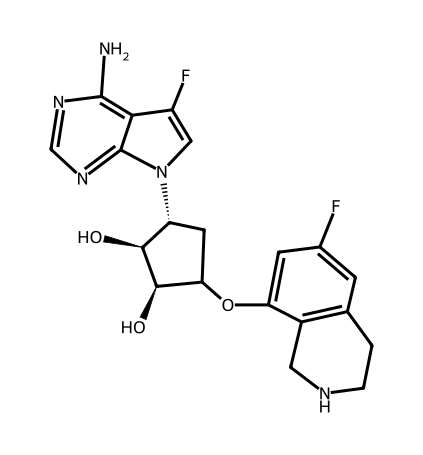 Nc1ncnc2c1c(F)cn2[C@@H]1CC(Oc2cc(F)cc3c2CNCC3)[C@@H](O)[C@H]1O